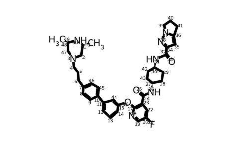 C[C@@H]1CN(CCCc2ccc(-c3cccc(Oc4ncc(F)cc4C(=O)N[C@H]4CC[C@H](NC(=O)c5cc6n(n5)CCC6)CC4)c3)cc2)C[C@H](C)N1